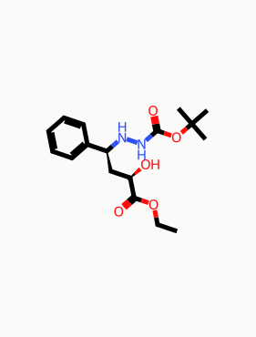 CCOC(=O)[C@H](O)C[C@H](NNC(=O)OC(C)(C)C)c1ccccc1